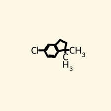 CC1(C)CCc2cc(Cl)ccc21